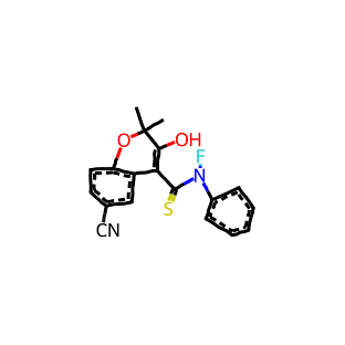 CC1(C)Oc2ccc(C#N)cc2C(C(=S)N(F)c2ccccc2)=C1O